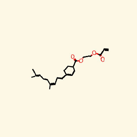 C=CC(=O)OCCOC(=O)C1CC=C(CCC=C(C)CCC=C(C)C)CC1